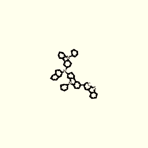 c1ccc(-n2c3ccccc3c3cc(N(c4ccc5ccccc5c4)c4ccc5c6cc(-c7ccc8sc9ccccc9c8c7)ccc6n(-c6ccccc6)c5c4)ccc32)cc1